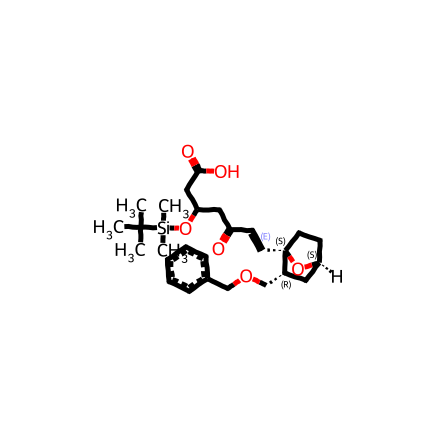 CC(C)(C)[Si](C)(C)OC(CC(=O)O)CC(=O)/C=C/[C@@]12CC[C@@H](C[C@@H]1COCc1ccccc1)O2